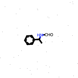 CC(NC=O)c1c[c]ccc1